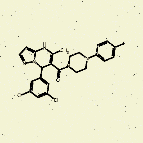 CC1=C(C(=O)N2CCN(c3ccc(F)cc3)CC2)C(c2cc(Cl)cc(Cl)c2)n2nccc2N1